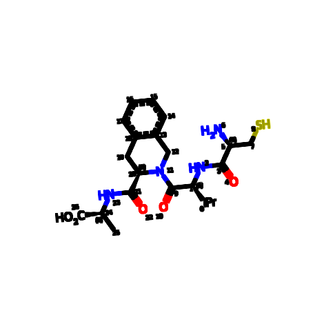 CC(C)[C@H](NC(=O)[C@@H](N)CS)C(=O)N1Cc2ccccc2C[C@@H]1C(=O)N[C@@H](C)C(=O)O